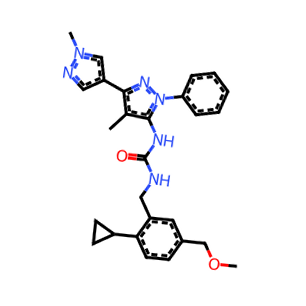 COCc1ccc(C2CC2)c(CNC(=O)Nc2c(C)c(-c3cnn(C)c3)nn2-c2ccccc2)c1